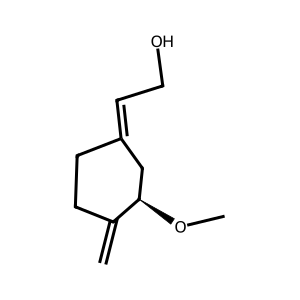 C=C1CC/C(=C/CO)C[C@H]1OC